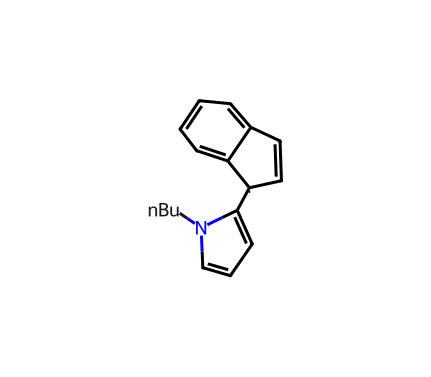 CCCCn1cccc1[C]1C=Cc2ccccc21